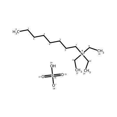 CCCCCCCC[N+](CC)(CC)CC.O=S(=O)([O-])O